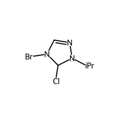 CC(C)N1N=CN(Br)C1Cl